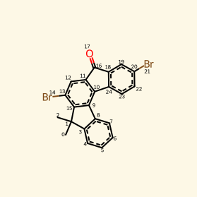 CC1(C)c2ccccc2-c2c3c(cc(Br)c21)C(=O)c1cc(Br)ccc1-3